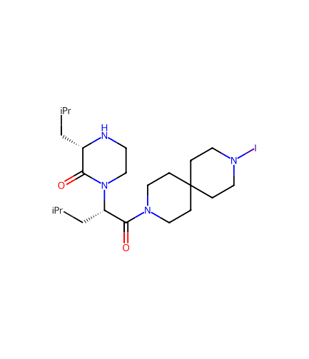 CC(C)C[C@@H]1NCCN([C@@H](CC(C)C)C(=O)N2CCC3(CCN(I)CC3)CC2)C1=O